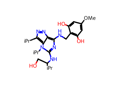 COc1cc(O)c(CNc2nc(NC(CO)C(C)C)n(C(C)C)c3c(C(C)C)nnc2-3)c(O)c1